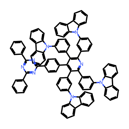 c1ccc(-c2nc(-c3ccccc3)nc(-c3ccc(-c4c(-c5cccc(-n6c7ccccc7c7ccccc76)c5)c(-c5cccc(-n6c7ccccc7c7ccccc76)c5)nc(-c5cccc(-n6c7ccccc7c7ccccc76)c5)c4-c4cccc(-n5c6ccccc6c6ccccc65)c4)cc3)n2)cc1